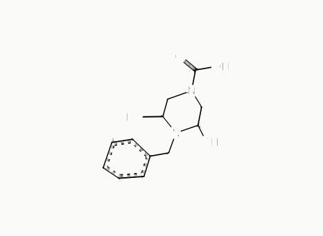 CC1CN(C(=O)O)CC(C)N1Cc1ccccc1